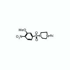 COc1cc(S(=O)(=O)N2CCN(C(C)=O)CC2)ccc1[N+](=O)[O-]